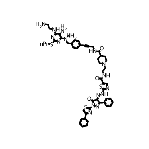 CCCSc1nc(NCCN)c(N)c(N(N)Cc2ccc(C#CCNC(=O)C3CCN(CCNC(=O)c4cnc(N/N=C5/C(=O)N(c6nc(-c7ccccc7)cs6)N=C5c5ccccc5)s4)CC3)cc2)n1